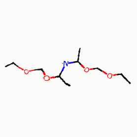 CCOCOC(C)[N]C(C)OCOCC